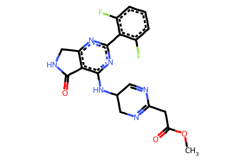 COC(=O)CC1=NCC(Nc2nc(-c3c(F)cccc3F)nc3c2C(=O)NC3)C=N1